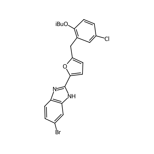 CC(C)COc1ccc(Cl)cc1Cc1ccc(-c2nc3ccc(Br)cc3[nH]2)o1